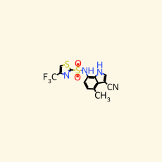 Cc1ccc(NS(=O)(=O)c2nc(C(F)(F)F)cs2)c2[nH]cc(C#N)c12